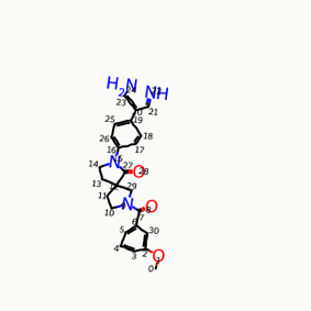 COc1cccc(C(=O)N2CCC3(CCN(c4ccc(/C(C=N)=C/N)cc4)C3=O)C2)c1